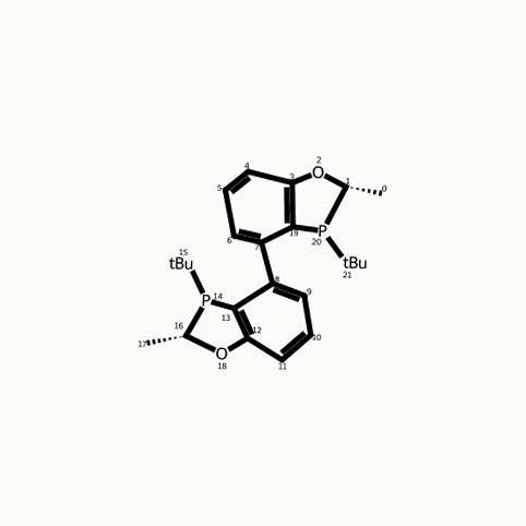 C[C@H]1Oc2cccc(-c3cccc4c3P(C(C)(C)C)[C@@H](C)O4)c2P1C(C)(C)C